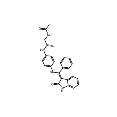 CC(=O)NCC(=O)Nc1ccc(N/C(=C2\C(=O)Nc3ccccc32)c2ccccc2)cc1